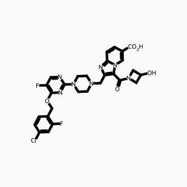 O=C(O)c1ccc2nc(CN3CCN(c4ncc(F)c(OCc5ccc(Cl)cc5F)n4)CC3)c(C(=O)N3CC(O)C3)n2c1